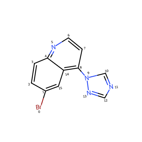 Brc1ccc2nccc(-n3cncn3)c2c1